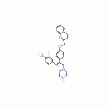 Fc1cc(/C=C(/CN2CCNCC2)c2ccc(OCc3ccc4ccccc4n3)cc2)ccc1Cl